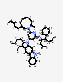 C=C1/C=C\C=C/CC(/C=C\C=C/C)=C\N1c1cc(-n2c(/C=C\CC)c(CC)c3cc4c5ccccc5n(C)c4cc32)cc(-n2c(/C=C\C)c(/C=C\C)c3ccccc32)n1